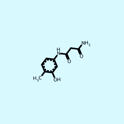 Cc1ccc(NC(=O)CC(N)=O)cc1O